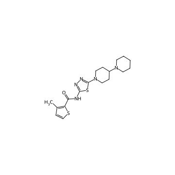 Cc1ccsc1C(=O)Nc1nnc(N2CCC(N3CCCCC3)CC2)s1